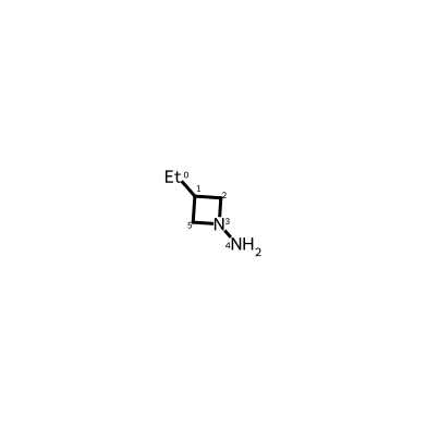 CCC1CN(N)C1